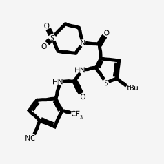 CC(C)(C)c1cc(C(=O)N2CCS(=O)(=O)CC2)c(NC(=O)Nc2ccc(C#N)cc2C(F)(F)F)s1